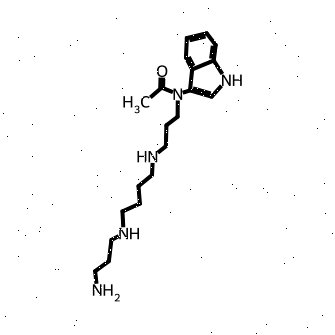 CC(=O)N(CCCNCCCCNCCCN)c1c[nH]c2ccccc12